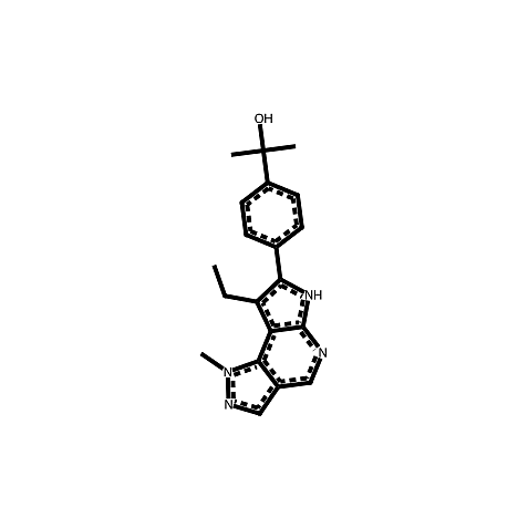 CCc1c(-c2ccc(C(C)(C)O)cc2)[nH]c2ncc3cnn(C)c3c12